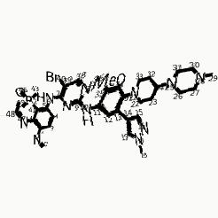 C=Nc1ccc(Nc2nc(Nc3cc(-c4cnn(C)c4)c(N4CCC(N5CCN(C)CC5)CC4)cc3OC)ncc2Br)c(P(C)(C)=O)c1/N=C\C